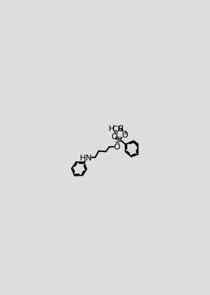 CO[Si](OC)(OCCCCNc1ccccc1)c1ccccc1